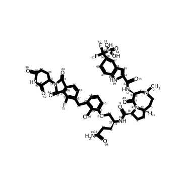 CN1CC[C@H]2CC[C@@H](C(=O)N[C@@H](CCC(N)=O)COc3cccc(Cc4ccc5c(c4F)C(=O)N(C4CCC(=O)NC4=O)C5=O)c3Cl)N2C(=O)[C@@H](NC(=O)c2cc3cc(C(F)(F)P(=O)(O)O)ccc3[nH]2)C1